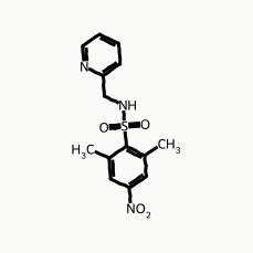 Cc1cc([N+](=O)[O-])cc(C)c1S(=O)(=O)NCc1ccccn1